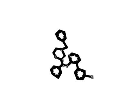 Clc1cccc(-c2cccnc2S[C@@H](c2ccccc2)[C@@H]2CN(Cc3ccccc3)CCO2)c1